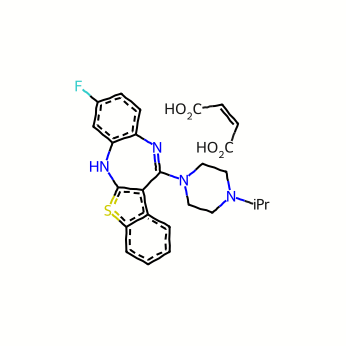 CC(C)N1CCN(C2=Nc3ccc(F)cc3Nc3sc4ccccc4c32)CC1.O=C(O)/C=C\C(=O)O